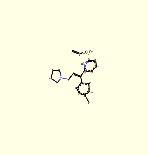 C=CC(=O)OCC.Cc1ccc(/C(=C\CN2CCCC2)c2ccccn2)cc1